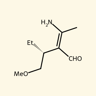 CC[C@@H](COC)/C(C=O)=C(/C)N